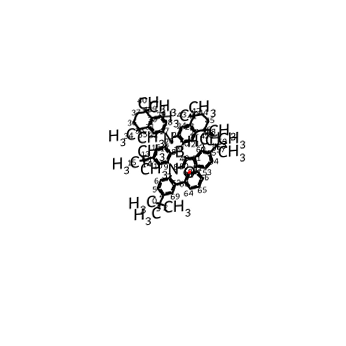 CC(C)(C)c1ccc(N2c3cc(C(C)(C)C)cc4c3B(c3cc5c(cc3N4c3ccc4c(c3)C(C)(C)CCC4(C)C)C(C)(C)CCC5(C)C)c3c2oc2ccc(C(C)(C)C)cc32)c(-c2ccccc2)c1